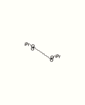 CC(C)CCOC(=O)CCCCCCCCCCCCCCC(=O)OCCC(C)C